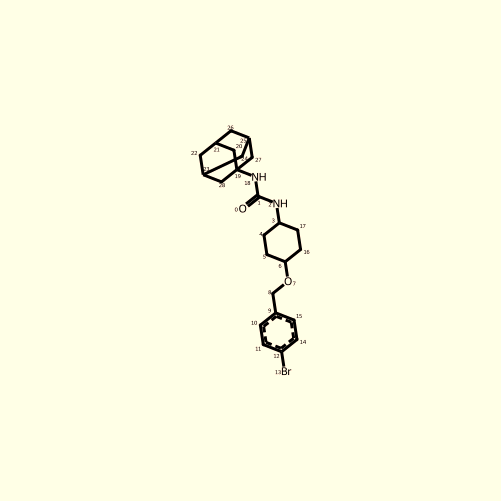 O=C(NC1CCC(OCc2ccc(Br)cc2)CC1)NC12CC3CC(CC(C3)C1)C2